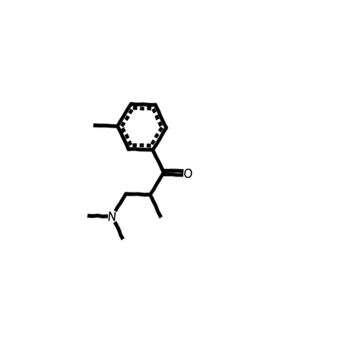 Cc1cccc(C(=O)C(C)CN(C)C)c1